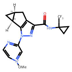 CO[n+]1ccnc(-n2nc(C(=O)NC3(C(F)(F)F)CC3)c3c2[C@H]2C[C@H]2C3)c1